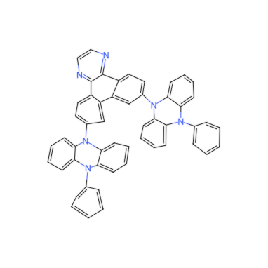 c1ccc(N2c3ccccc3N(c3ccc4c(c3)c3cc(N5c6ccccc6N(c6ccccc6)c6ccccc65)ccc3c3nccnc43)c3ccccc32)cc1